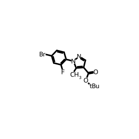 Cc1c(C(=O)OC(C)(C)C)cnn1-c1ccc(Br)cc1F